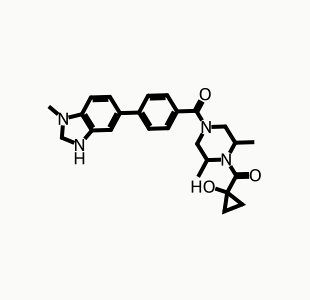 CC1CN(C(=O)c2ccc(-c3ccc4c(c3)NCN4C)cc2)CC(C)N1C(=O)C1(O)CC1